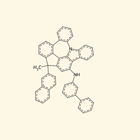 CC1(c2ccc3ccccc3c2)c2cccc3c2-c2c1cc(Nc1cccc(-c4ccccc4)c1)c1c4ccccc4n(c21)-c1ccccc1-3